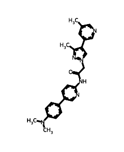 Cc1cncc(-c2cn(CC(=O)Nc3ccc(-c4ccc(N(C)C)cc4)cn3)nc2C)c1